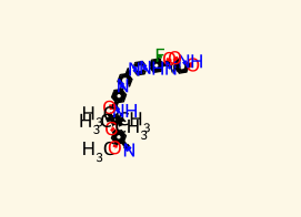 COc1cc(O[C@H]2C(C)(C)[C@H](NC(=O)c3ccc(N4CCC(CN5CCN(c6ccc(C(=O)N[C@@H]7CCC(=O)NC7=O)c(F)c6)CC5)CC4)cc3)C2(C)C)ccc1C#N